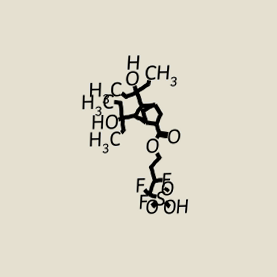 CCC(O)(CC)C1C2CC(C(=O)OCCC(F)C(F)(F)S(=O)(=O)O)C(C2)C1C(O)(CC)CC